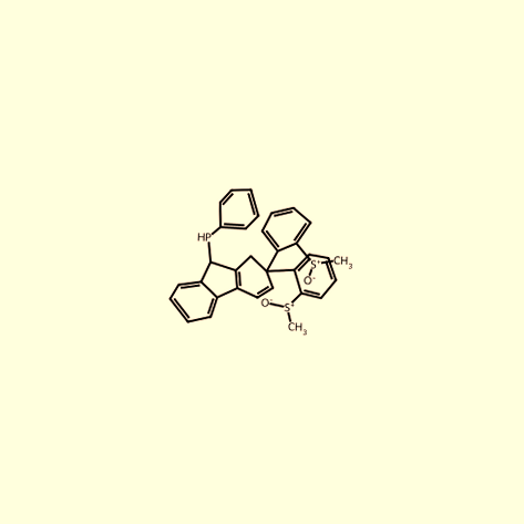 C[S+]([O-])c1ccccc1C1(c2ccccc2[S+](C)[O-])C=CC2=C(C1)C(Pc1ccccc1)c1ccccc12